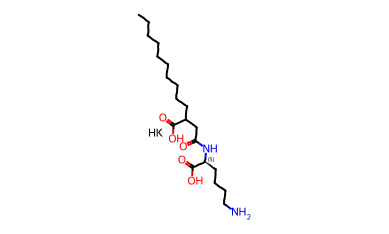 CCCCCCCCCCC(CC(=O)N[C@@H](CCCCN)C(=O)O)C(=O)O.[KH]